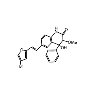 COC1C(=O)Nc2ccc(/C=C/c3cc(Br)co3)cc2C1(O)c1ccccc1